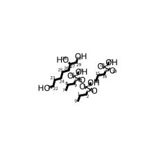 CCCS(=O)(=O)O.CCCS(=O)(=O)O.CCCS(=O)(=O)O.OCCCCCC(O)CO